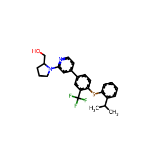 CC(C)c1ccccc1Sc1ccc(-c2ccnc(N3CCCC3CO)c2)cc1C(F)(F)F